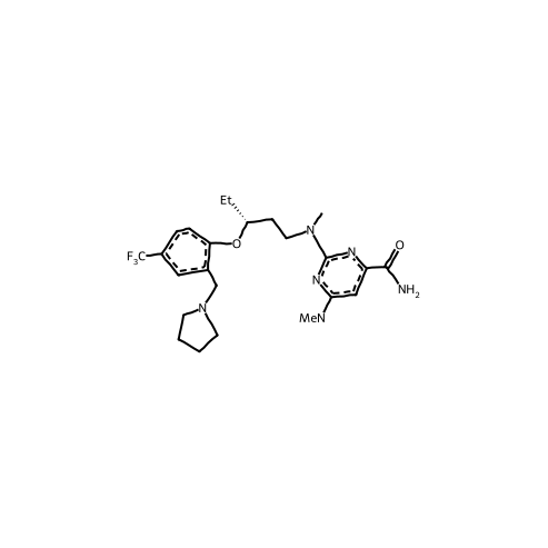 CC[C@H](CCN(C)c1nc(NC)cc(C(N)=O)n1)Oc1ccc(C(F)(F)F)cc1CN1CCCC1